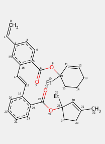 C=Cc1ccc(C(=O)OC2(CC)C=CCCC2)c(/C=C/c2ccccc2C(=O)OC2(CC)C=C(C)CC2)c1